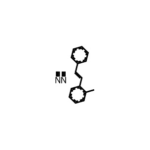 C#N.C#N.Cc1ccccc1C=Cc1ccccc1